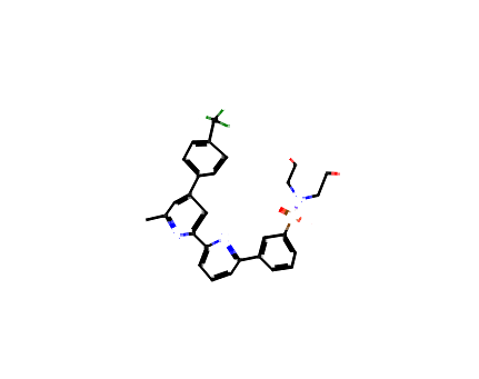 Cc1cc(-c2ccc(C(F)(F)F)cc2)cc(-c2cccc(-c3cccc(S(=O)(=O)N(CCO)CCO)c3)n2)n1